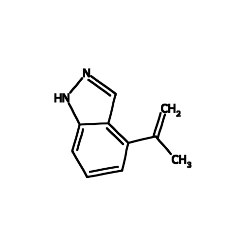 C=C(C)c1cccc2[nH]ncc12